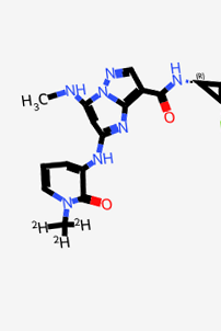 [2H]C([2H])([2H])n1cccc(Nc2cc(NC)n3ncc(C(=O)N[C@@H]4C[C@@H]4F)c3n2)c1=O